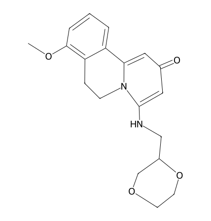 COc1cccc2c1CCn1c(NCC3COCCO3)cc(=O)cc1-2